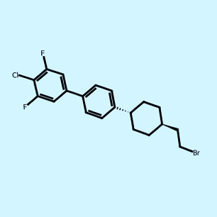 Fc1cc(-c2ccc([C@H]3CC[C@H](CCBr)CC3)cc2)cc(F)c1Cl